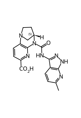 Cc1ccc2c(NC(=O)N3c4nc(C(=O)O)ccc4N4CC[C@H]3C4)n[nH]c2n1